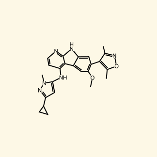 COc1cc2c(cc1-c1c(C)noc1C)[nH]c1nccc(Nc3cc(C4CC4)nn3C)c12